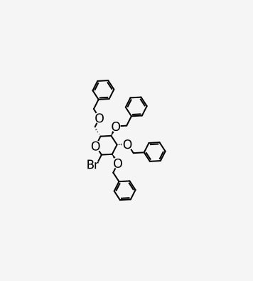 BrC1O[C@H](COCc2ccccc2)[C@@H](OCc2ccccc2)[C@H](OCc2ccccc2)[C@H]1OCc1ccccc1